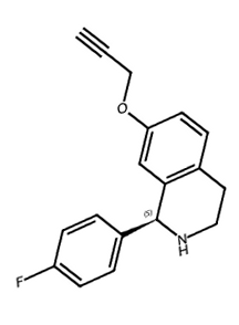 C#CCOc1ccc2c(c1)[C@H](c1ccc(F)cc1)NCC2